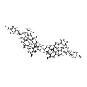 C=Cc1ccc(COc2ccc(C3(c4ccc(F)cc4)c4ccccc4-c4ccc(N(c5ccc(-c6ccc(N(c7ccc8c(c7)C(c7ccc(F)cc7)(c7ccc(OCc9ccc(C=C)cc9)cc7)c7ccccc7-8)c7cccc(F)c7F)cc6)cc5)c5cccc(F)c5F)cc43)cc2)cc1